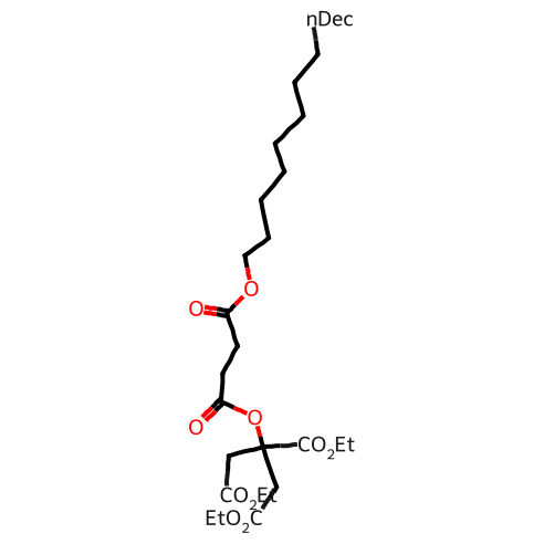 CCCCCCCCCCCCCCCCCCOC(=O)CCC(=O)OC(CC(=O)OCC)(CC(=O)OCC)C(=O)OCC